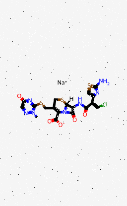 Cn1ncc(=O)nc1SCC1=C(C(=O)[O-])N2C(=O)C(NC(=O)/C(=C/Cl)c3csc(N)n3)[C@H]2SC1.[Na+]